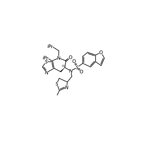 CC1=NC(CN([C@@H](Cc2cscn2)C(=O)N(CC(C)C)CC(C)C)S(=O)(=O)c2ccc3occc3c2)CS1